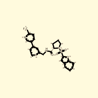 O=C(NCc1cc(-c2ccc(C(F)(F)F)nc2)ccn1)[C@@H]1CCCN1S(=O)(=O)c1cc2ccccc2o1